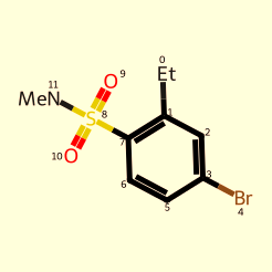 CCc1cc(Br)ccc1S(=O)(=O)NC